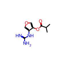 CC(C)C(=O)Oc1cocc1NC(=N)N